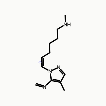 C=Nc1c(C)cnn1/C=C\CCCCNC